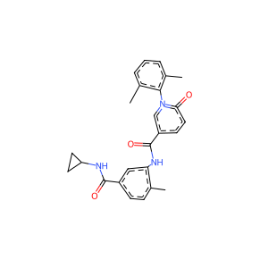 Cc1ccc(C(=O)NC2CC2)cc1NC(=O)c1ccc(=O)n(-c2c(C)cccc2C)c1